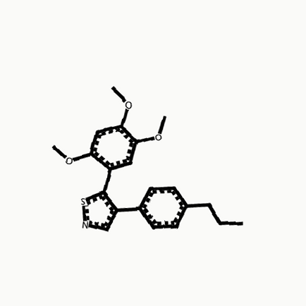 CCCc1ccc(-c2cnsc2-c2cc(OC)c(OC)cc2OC)cc1